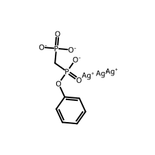 O=P([O-])([O-])CP(=O)([O-])Oc1ccccc1.[Ag+].[Ag+].[Ag+]